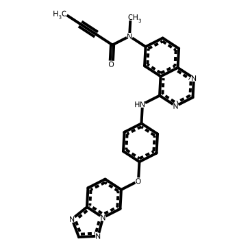 CC#CC(=O)N(C)c1ccc2ncnc(Nc3ccc(Oc4ccc5ncnn5c4)cc3)c2c1